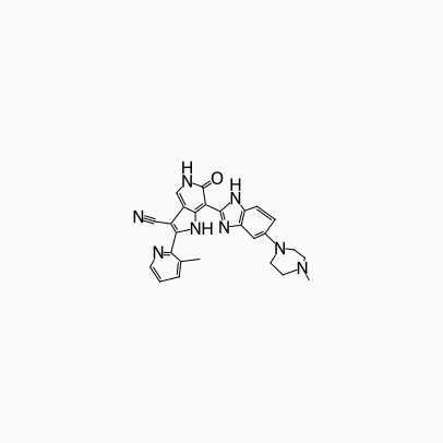 Cc1cccnc1-c1[nH]c2c(-c3nc4cc(N5CCN(C)CC5)ccc4[nH]3)c(=O)[nH]cc2c1C#N